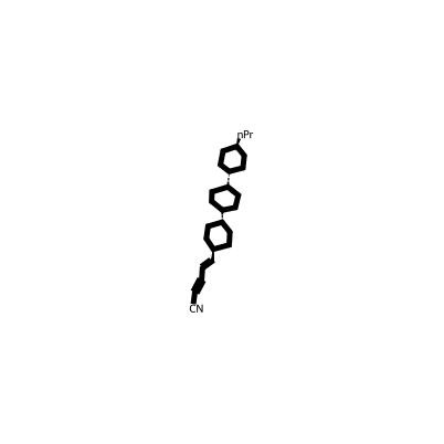 CCC[C@H]1CC[C@H](C2CCC([C@H]3CC[C@H](/C=C/C#CC#N)CC3)CC2)CC1